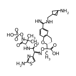 CC1(C)[C@H](NC(=O)/C(=N\O[C@](C)(C(=O)O)[C@H]2CCc3cc(C(=N)NCC45CC(N)(C4)C5)ccc3O2)c2csc(N)n2)C(=O)N1OS(=O)(=O)O